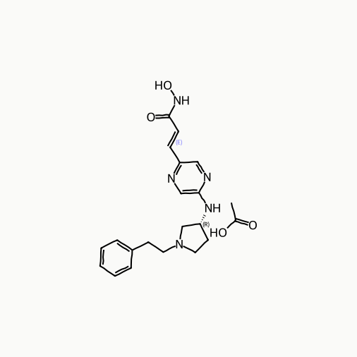 CC(=O)O.O=C(/C=C/c1cnc(N[C@@H]2CCN(CCc3ccccc3)C2)cn1)NO